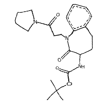 CC(C)(C)OC(=O)NC1CCc2ccccc2N(CC(=O)N2CCCC2)C1=O